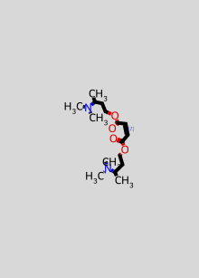 CC(CCOC(=O)/C=C\C(=O)OCCC(C)N(C)C)N(C)C